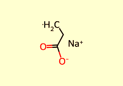 [CH2]CC(=O)[O-].[Na+]